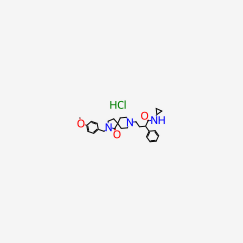 COc1ccc(CN2CCC3(CCN(CCC(C(=O)NC4CC4)c4ccccc4)CC3)C2=O)cc1.Cl